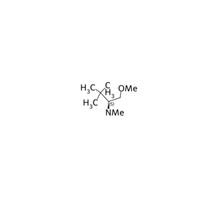 CN[C@H](COC)C(C)(C)C